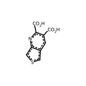 O=C(O)c1cc2cscc2nc1C(=O)O